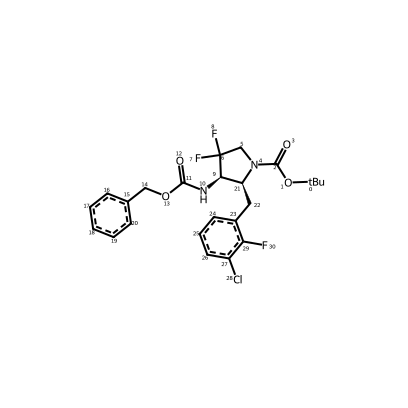 CC(C)(C)OC(=O)N1CC(F)(F)[C@H](NC(=O)OCc2ccccc2)[C@@H]1Cc1cccc(Cl)c1F